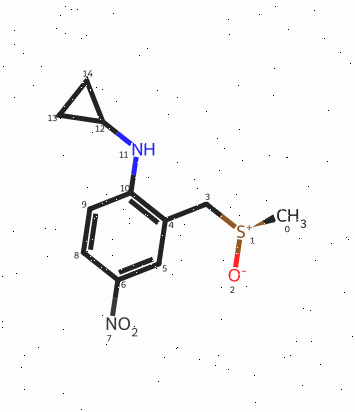 C[S@@+]([O-])Cc1cc([N+](=O)[O-])ccc1NC1CC1